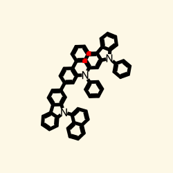 c1ccc(-c2ccc(-c3ccc4c5ccccc5n(-c5cccc6ccccc56)c4c3)cc2N(c2ccccc2)c2ccc3c4ccccc4n(-c4ccccc4)c3c2)cc1